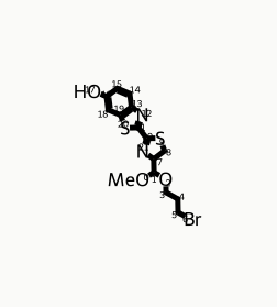 COC(OCCCBr)C1CSC(c2nc3ccc(O)cc3s2)=N1